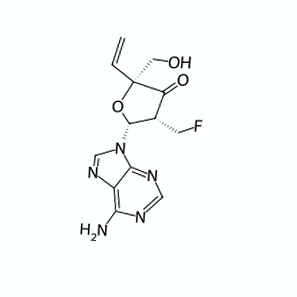 C=C[C@]1(CO)O[C@@H](n2cnc3c(N)ncnc32)[C@@H](CF)C1=O